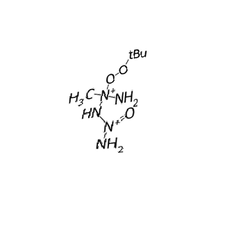 CC(C)(C)OO[N+](C)(N)N[N+](N)=O